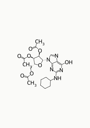 CC(=O)OC[C@H]1O[C@@H](n2cnc3c(O)nc(NC4CCCCC4)nc32)[C@H](OC(C)=O)[C@@H]1OC(C)=O